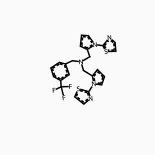 FC(F)(F)c1cccc(CN(Cc2cccn2-c2nccs2)Cc2cccn2-c2nccs2)c1